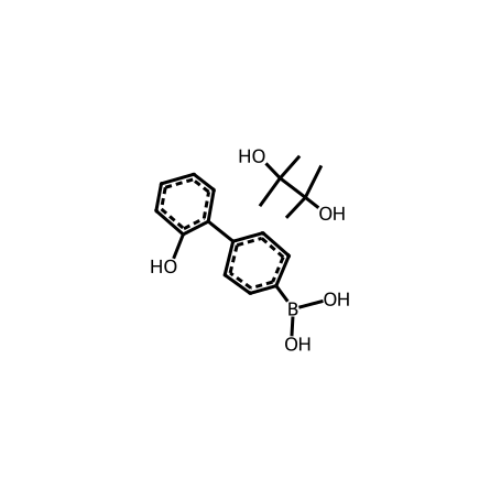 CC(C)(O)C(C)(C)O.OB(O)c1ccc(-c2ccccc2O)cc1